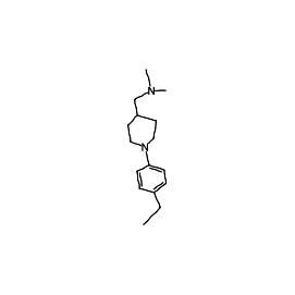 CCc1ccc(N2CCC(CN(C)C)CC2)cc1